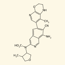 Cc1c(-c2cc3cc(N(C(=O)O)C4COCC4C)ncc3c(N)c2C#N)cnc2c1NCCO2